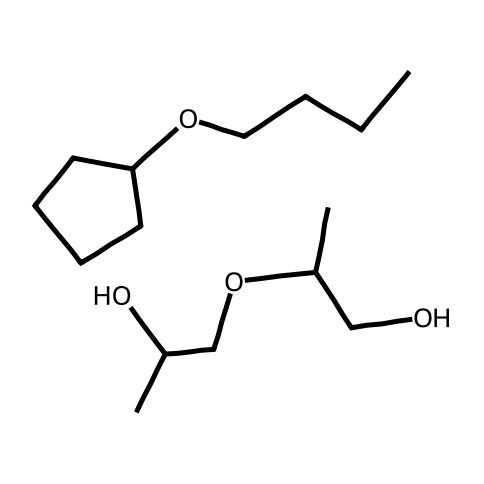 CC(O)COC(C)CO.CCCCOC1CCCC1